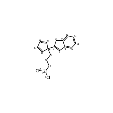 [Cl][Zr]([Cl])[CH2]CCC1(C2=Cc3ccccc3C2)C=CC=C1